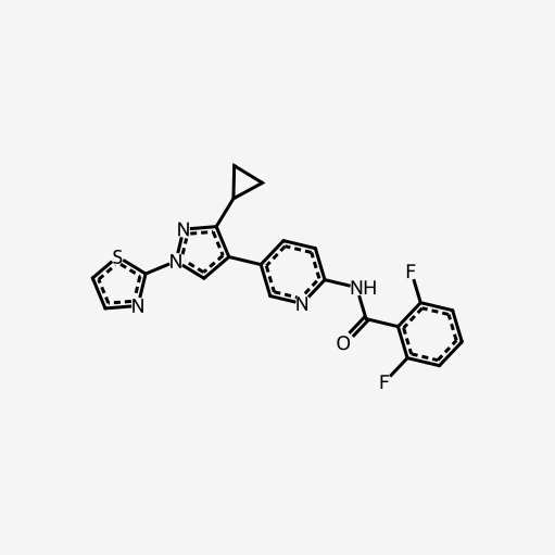 O=C(Nc1ccc(-c2cn(-c3nccs3)nc2C2CC2)cn1)c1c(F)cccc1F